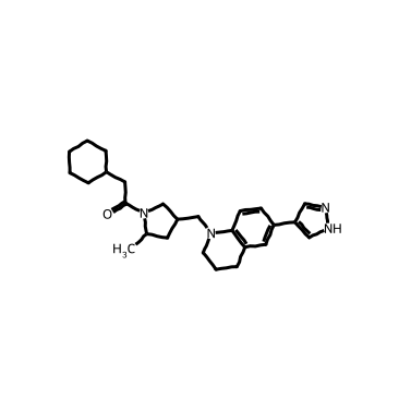 CC1CC(CN2CCCc3cc(-c4cn[nH]c4)ccc32)CN1C(=O)CC1CCCCC1